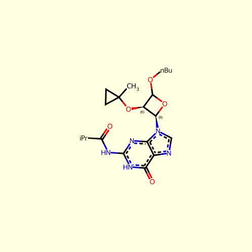 CCCCOC1O[C@@H](n2cnc3c(=O)[nH]c(NC(=O)C(C)C)nc32)[C@H]1OC1(C)CC1